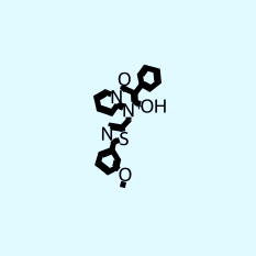 COc1cccc(-c2ncc(C[n+]3c(O)c(-c4ccccc4)c(=O)n4ccccc43)s2)c1